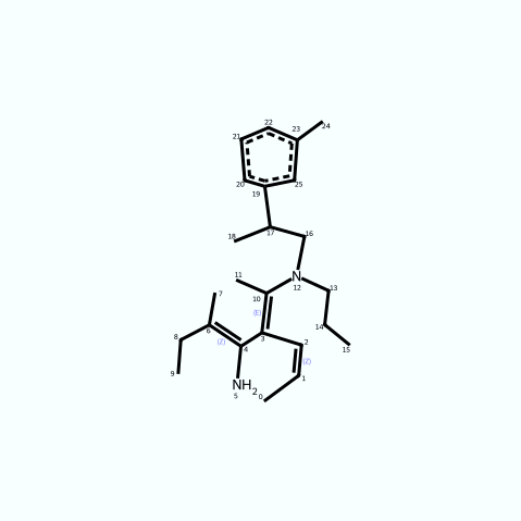 C\C=C/C(C(/N)=C(\C)CC)=C(/C)N(CCC)CC(C)c1cccc(C)c1